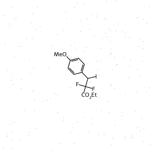 CCOC(=O)C(F)(F)C(I)c1ccc(OC)cc1